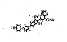 COc1cc(-c2[nH]c3cc(-c4cnn(C5CCNCC5)c4)sc3c2C(C)C)cn2ncnc12